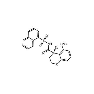 CC[C@]1(C(=O)NS(=O)(=O)c2cccc3ccccc23)CCOc2cccc(OC)c21